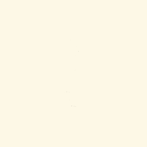 C=C(C)c1ccc(CCOc2ccc(/C=C/C(=O)c3ccccc3)cc2)cc1